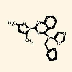 Cc1cc(C)n(-c2nc(N(Cc3ccccc3)C3=COCO3)c3ccccc3n2)n1